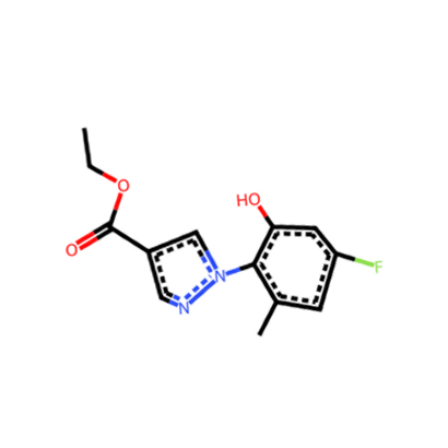 CCOC(=O)c1cnn(-c2c(C)cc(F)cc2O)c1